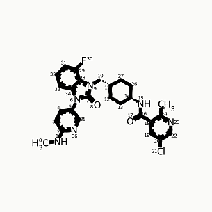 CNc1ccc(-n2c(=O)n(C[C@H]3CC[C@H](NC(=O)c4cc(Cl)cnc4C)CC3)c3c(F)cccc32)cn1